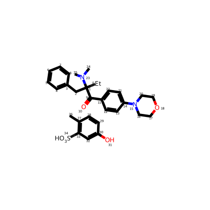 CCC(Cc1ccccc1)(C(=O)c1ccc(N2CCOCC2)cc1)N(C)C.Cc1ccc(O)cc1S(=O)(=O)O